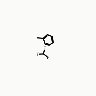 Cc1ccccc1.FC(F)F